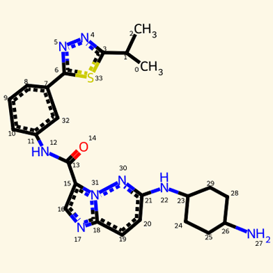 CC(C)c1nnc(-c2cccc(NC(=O)c3cnc4ccc(NC5CCC(N)CC5)nn34)c2)s1